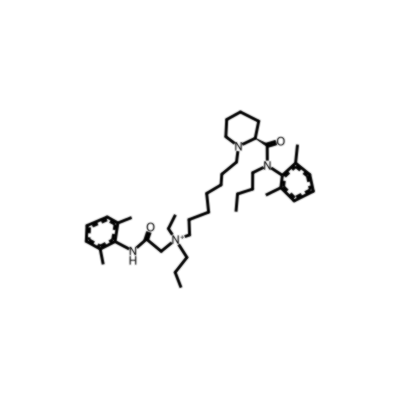 CCCCN(C(=O)[C@@H]1CCCCN1CCCCCCC[N+](CC)(CCC)CC(=O)Nc1c(C)cccc1C)c1c(C)cccc1C